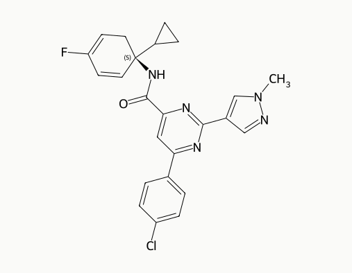 Cn1cc(-c2nc(C(=O)N[C@@]3(C4CC4)C=CC(F)=CC3)cc(-c3ccc(Cl)cc3)n2)cn1